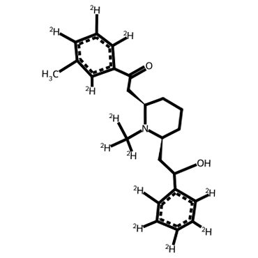 [2H]c1c([2H])c([2H])c(C(O)C[C@@H]2CCC[C@H](CC(=O)c3c([2H])c([2H])c([2H])c(C)c3[2H])N2C([2H])([2H])[2H])c([2H])c1[2H]